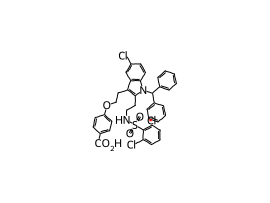 O=C(O)c1ccc(OCCc2c(CCNS(=O)(=O)c3c(Cl)cccc3Cl)n(C(c3ccccc3)c3ccccc3)c3ccc(Cl)cc23)cc1